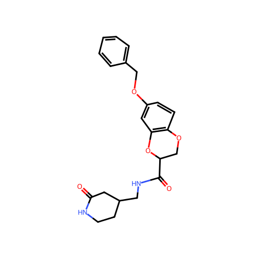 O=C1CC(CNC(=O)C2COc3ccc(OCc4ccccc4)cc3O2)CCN1